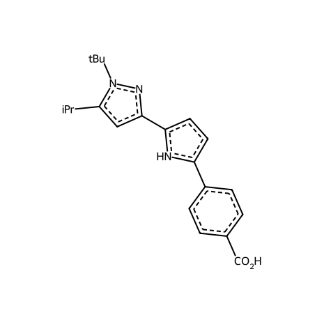 CC(C)c1cc(-c2ccc(-c3ccc(C(=O)O)cc3)[nH]2)nn1C(C)(C)C